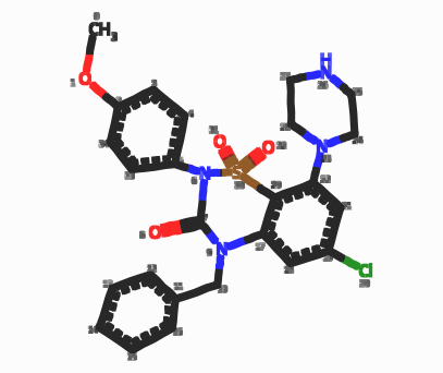 COc1ccc(N2C(=O)N(Cc3ccccc3)c3cc(Cl)cc(N4CCNCC4)c3S2(=O)=O)cc1